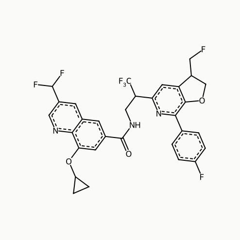 O=C(NCC(c1cc2c(c(-c3ccc(F)cc3)n1)OCC2CF)C(F)(F)F)c1cc(OC2CC2)c2ncc(C(F)F)cc2c1